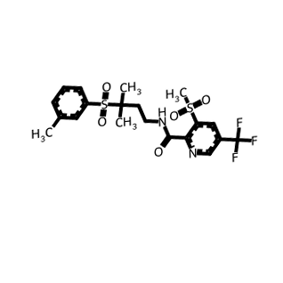 Cc1cccc(S(=O)(=O)C(C)(C)CCNC(=O)c2ncc(C(F)(F)F)cc2S(C)(=O)=O)c1